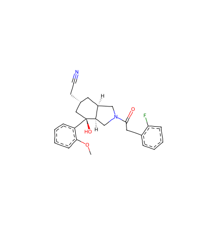 COc1ccccc1[C@]1(O)C[C@H](CC#N)C[C@H]2CN(C(=O)Cc3ccccc3F)C[C@H]21